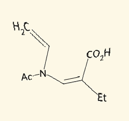 C=CN(C=C(CC)C(=O)O)C(C)=O